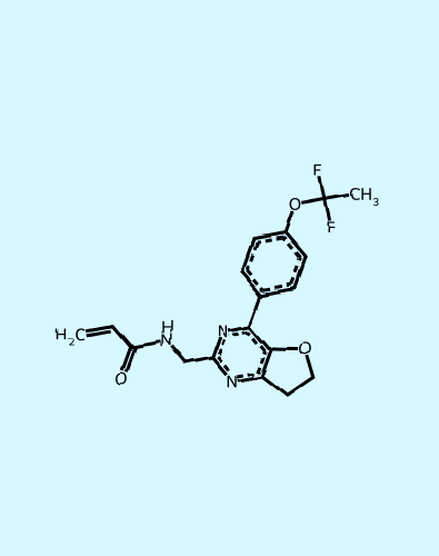 C=CC(=O)NCc1nc2c(c(-c3ccc(OC(C)(F)F)cc3)n1)OCC2